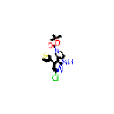 CC(C)(C)OC(=O)N1CCc2[nH]c3nc(Cl)cc(-c4ccsc4)c3c2C1